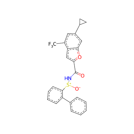 O=C(N[S+]([O-])c1ccccc1-c1ccccc1)c1cc2c(C(F)(F)F)cc(C3CC3)cc2o1